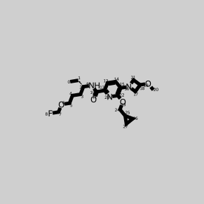 CC[C@@H](CCCOCF)NC(=O)c1ccc(N2CC(OC)C2)c(OCC2CC2)n1